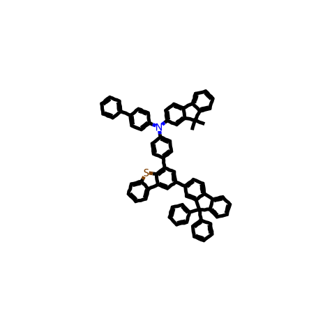 CC1(C)c2ccccc2-c2ccc(N(c3ccc(-c4ccccc4)cc3)c3ccc(-c4cc(-c5ccc6c(c5)C(c5ccccc5)(c5ccccc5)c5ccccc5-6)cc5c4sc4ccccc45)cc3)cc21